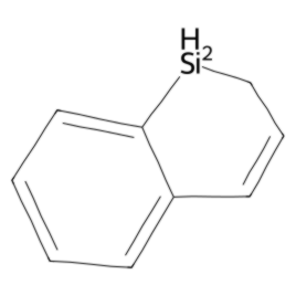 C1=Cc2ccccc2[SiH2]C1